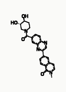 Cn1ccc2cc(-c3cnc4ccc(C(=O)N5CC[C@H](O)[C@@H](O)C5)cc4n3)ccc2c1=O